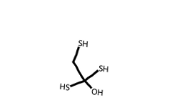 OC(S)(S)CS